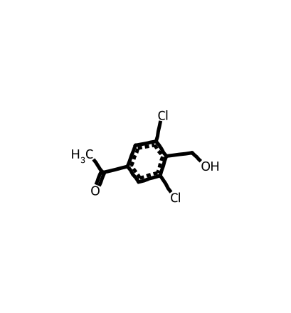 CC(=O)c1cc(Cl)c(CO)c(Cl)c1